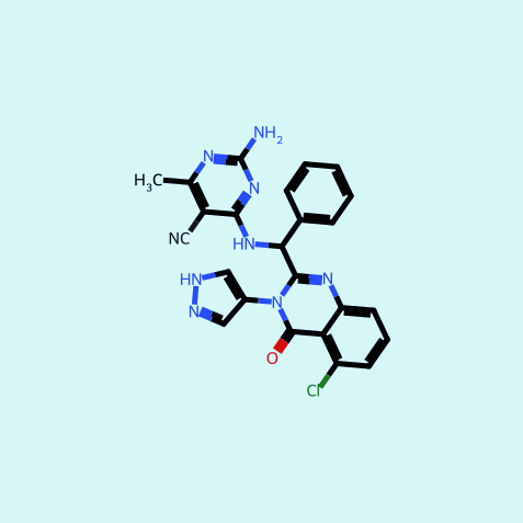 Cc1nc(N)nc(NC(c2ccccc2)c2nc3cccc(Cl)c3c(=O)n2-c2cn[nH]c2)c1C#N